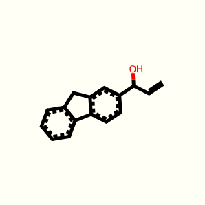 C=CC(O)c1ccc2c(c1)Cc1ccccc1-2